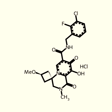 CO[C@H]1C[C@]2(CN(C)C(=O)c3c(O)c(=O)c(C(=O)NCc4cccc(Cl)c4F)cn32)C1.Cl